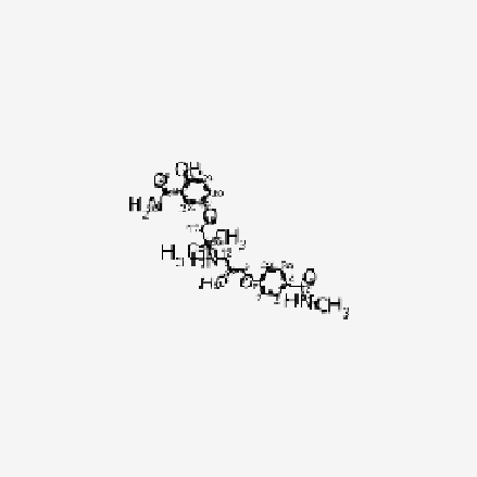 CNC(=O)c1ccc(OCC(O)CNC(C)(C)COc2ccc(O)c(C(N)=O)c2)cc1